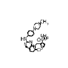 CN1CCN(c2ccc(Nc3ncc4ccc(=O)n(Cc5sccc5S(C)(=O)=O)c4n3)cc2)CC1